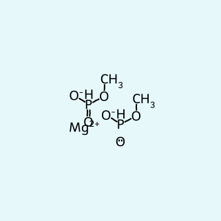 CO[PH](=O)[O-].CO[PH](=O)[O-].[Mg+2]